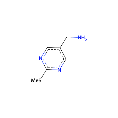 CSc1ncc(CN)cn1